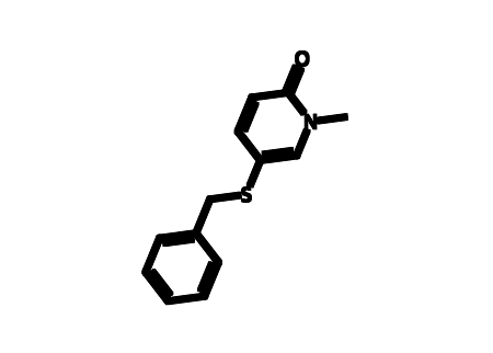 Cn1cc(SCc2ccccc2)ccc1=O